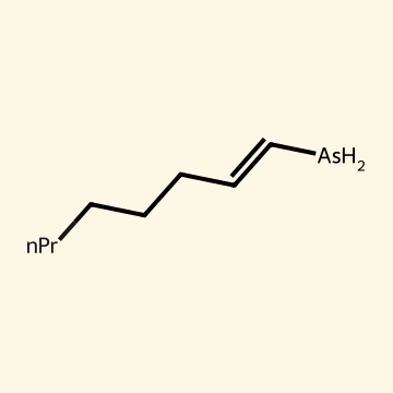 CCCCCCC=C[AsH2]